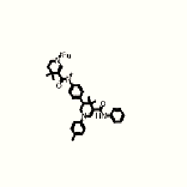 Cc1ccc(N2C=C(C(=O)Nc3ccccc3)C(C)(C)C(c3ccc(N(C)C(=O)C4=CN(C(C)(C)C)CCC4(C)C)cc3)C2)cc1